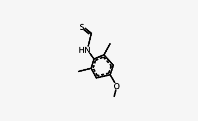 COc1cc(C)c(NC=S)c(C)c1